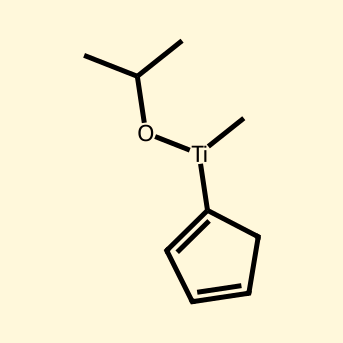 CC(C)[O][Ti]([CH3])[C]1=CC=CC1